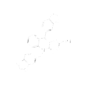 O=C(O)Oc1c(-c2ccc3c(c2)OCO3)c2ccccc2n(Cc2ccc3c(c2)OCO3)c1=O